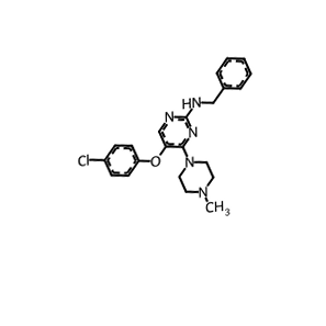 CN1CCN(c2nc(NCc3ccccc3)ncc2Oc2ccc(Cl)cc2)CC1